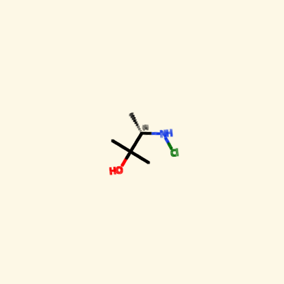 C[C@H](NCl)C(C)(C)O